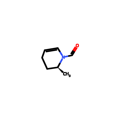 C[C@@H]1CCC=CN1C=O